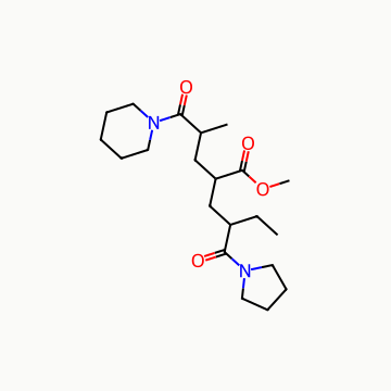 CCC(CC(CC(C)C(=O)N1CCCCC1)C(=O)OC)C(=O)N1CCCC1